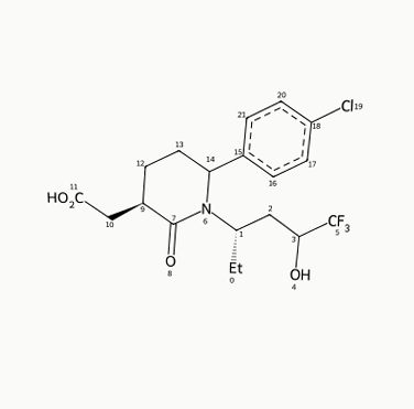 CC[C@@H](CC(O)C(F)(F)F)N1C(=O)[C@@H](CC(=O)O)CCC1c1ccc(Cl)cc1